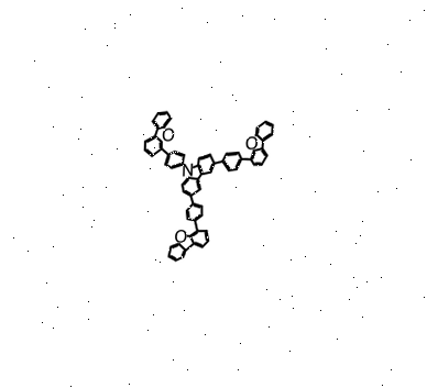 c1ccc2c(c1)oc1c(-c3ccc(-c4ccc5c(c4)c4cc(-c6ccc(-c7cccc8c7oc7ccccc78)cc6)ccc4n5-c4ccc(-c5cccc6c5oc5ccccc56)cc4)cc3)cccc12